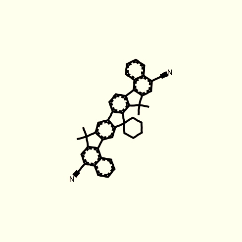 CC1(C)c2cc3c(cc2-c2c1cc(C#N)c1ccccc21)C1(CCCCC1)c1c-3ccc2c1C(C)(C)c1cc(C#N)c3ccccc3c1-2